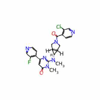 CN(c1nc(-c2ccncc2F)cc(=O)n1C)[C@@H]1[C@@H]2CN(C(=O)c3ccncc3Cl)C[C@@H]21